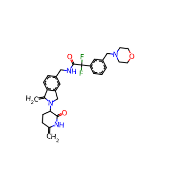 C=C1CCC(N2Cc3cc(CNC(=O)C(F)(F)c4cccc(CN5CCOCC5)c4)ccc3C2=C)C(=O)N1